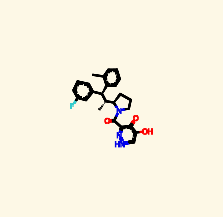 Cc1ccccc1[C@H](c1cccc(F)c1)[C@@H](C)[C@H]1CCCN1C(=O)c1n[nH]cc(O)c1=O